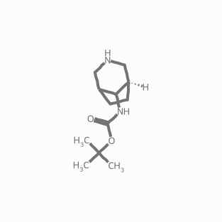 CC(C)(C)OC(=O)NC1C2CC[C@@H]1CNC2